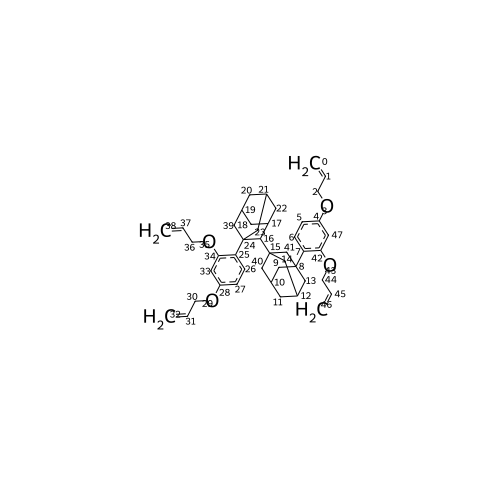 C=CCOc1ccc(C23CC4CC(C2)CC(C2C5CC6CC(C5)CC2(c2ccc(OCC=C)cc2OCC=C)C6)(C4)C3)c(OCC=C)c1